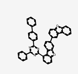 c1ccc(-c2ccc(-c3nc(-c4ccccc4)nc(-c4cccc5oc6cc(-c7ccc8oc9ccccc9c8c7)ccc6c45)n3)cc2)cc1